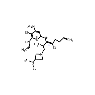 C=CCC/C(CC)=C(\NC1C=C(NC)C(CC)=C(NC=C)N1)C(C)CN1CC(N(CC)CCC)C1